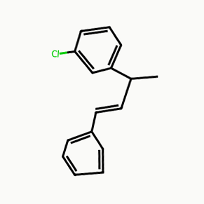 CC(C=Cc1ccccc1)c1cccc(Cl)c1